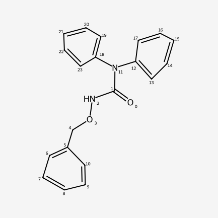 O=C(NOCc1ccccc1)N(c1ccccc1)c1ccccc1